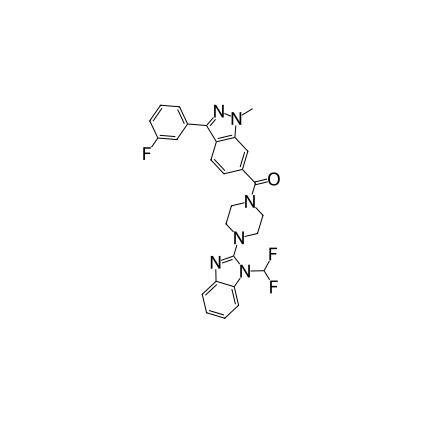 Cn1nc(-c2cccc(F)c2)c2ccc(C(=O)N3CCN(c4nc5ccccc5n4C(F)F)CC3)cc21